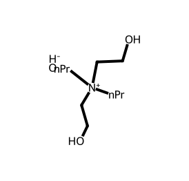 CCC[N+](CCC)(CCO)CCO.[OH-]